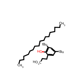 CC(C)(C)c1cc(CCC(=O)O)c(O)c(C(C)(C)C)c1.CCCCCCCCCCCCCCCCCC